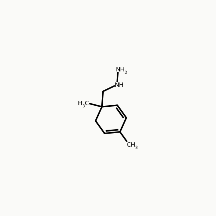 CC1=CCC(C)(CNN)C=C1